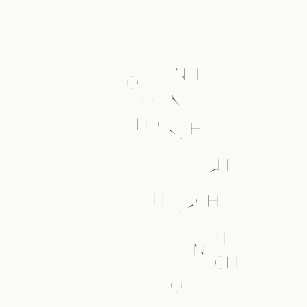 CN1C(=O)C=C[C@]2(C)[C@H]3CC[C@]4(C)[C@@H](C(=O)Nc5ccccc5Oc5ccccc5)CC[C@H]4[C@@H]3CC[C@@H]12